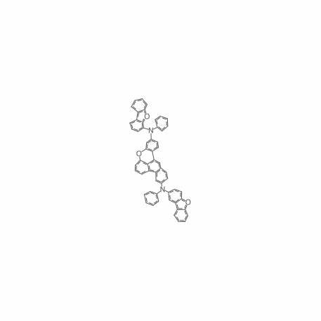 c1ccc(N(c2ccc3cc4c5c(cccc5c3c2)Oc2cc(N(c3ccccc3)c3cccc5c3oc3ccccc35)ccc2-4)c2ccc3oc4ccccc4c3c2)cc1